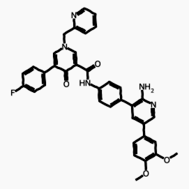 COc1ccc(-c2cnc(N)c(-c3ccc(NC(=O)c4cn(Cc5ccccn5)cc(-c5ccc(F)cc5)c4=O)cc3)c2)cc1OC